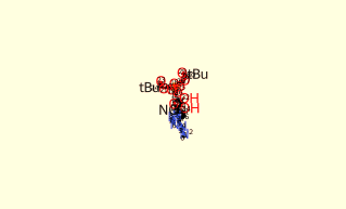 CN(C)C=Nc1ncnn2c([C@]3(C#N)O[C@H](COP(=O)(OCOC(=O)C(C)(C)C)OCOC(=O)C(C)(C)C)[C@@H](O)[C@H]3O)ccc12